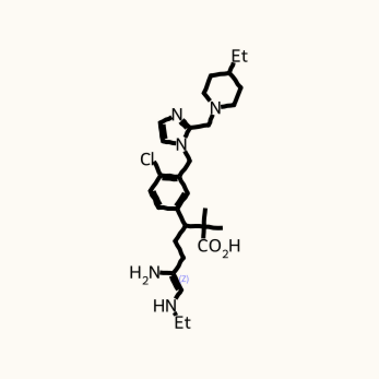 CCN/C=C(\N)CCC(c1ccc(Cl)c(Cn2ccnc2CN2CCC(CC)CC2)c1)C(C)(C)C(=O)O